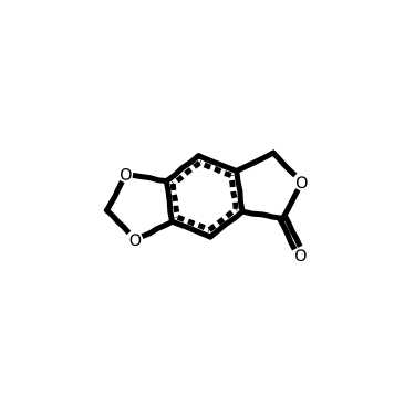 O=C1OCc2cc3c(cc21)OCO3